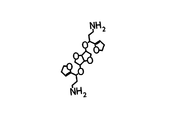 NCCC(OC1COC2C(OC(CCN)C3=CCCO3)COC12)C1=CCCO1